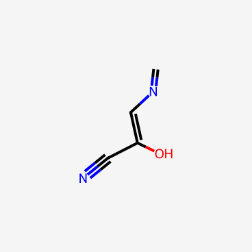 C=NC=C(O)C#N